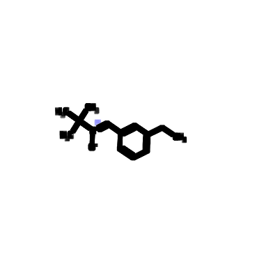 CCc1cccc(/C=[N+](\[O-])C(C)(C)C)c1